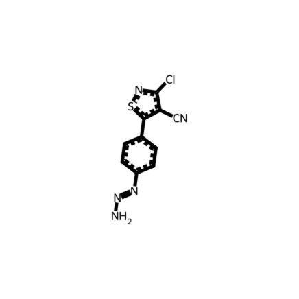 N#Cc1c(Cl)nsc1-c1ccc(N=NN)cc1